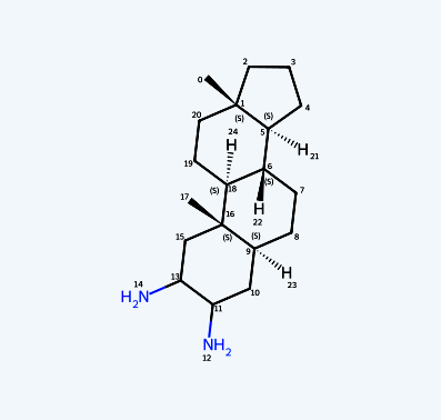 C[C@@]12CCC[C@H]1[C@@H]1CC[C@H]3CC(N)C(N)C[C@]3(C)[C@H]1CC2